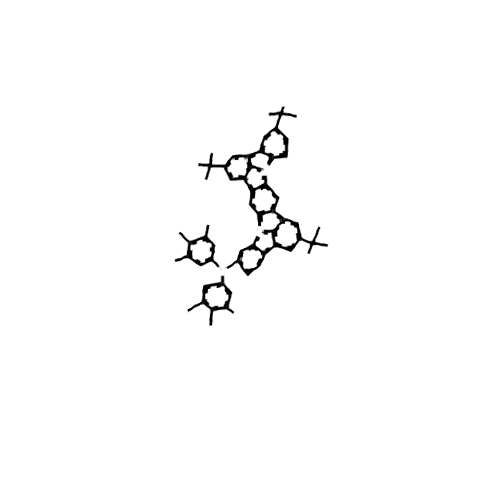 Cc1cc(N(c2cc(C)c(C)c(C)c2)c2ccc3c4cc(C(C)(C)C)cc5c6cc7c(cc6n(c3c2)c45)c2cc(C(C)(C)C)cc3c4cc(C(C)(C)C)ccc4n7c32)cc(C)c1C